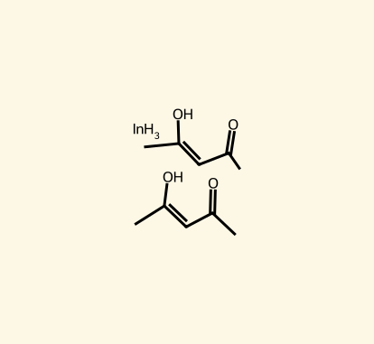 CC(=O)/C=C(/C)O.CC(=O)/C=C(/C)O.[InH3]